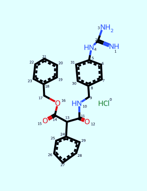 Cl.N=C(N)Nc1ccc(CNC(=O)C(C(=O)OCc2ccccc2)c2ccccc2)cc1